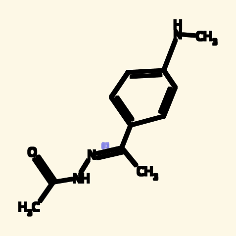 CNc1ccc(/C(C)=N/NC(C)=O)cc1